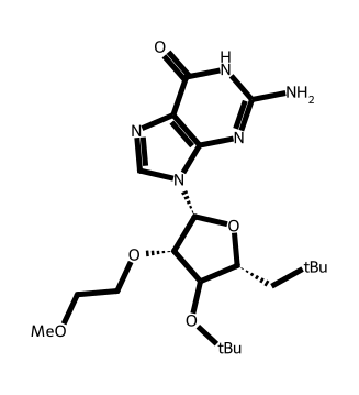 COCCO[C@H]1C(OC(C)(C)C)[C@@H](CC(C)(C)C)O[C@H]1n1cnc2c(=O)[nH]c(N)nc21